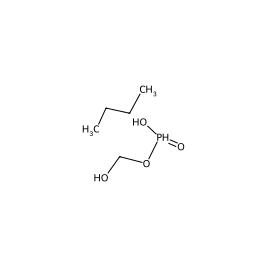 CCCC.O=[PH](O)OCO